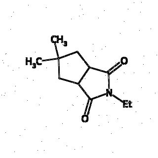 CCN1C(=O)C2CC(C)(C)CC2C1=O